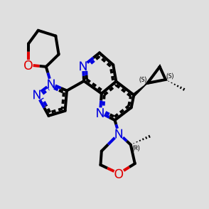 C[C@@H]1COCCN1c1cc([C@H]2C[C@@H]2C)c2ccnc(-c3ccnn3C3CCCCO3)c2n1